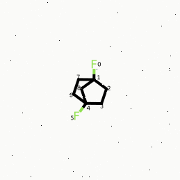 FC12CCC(F)(CC1)C2